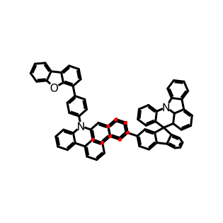 C1=CC2C3C(=C1)c1ccccc1N3c1ccccc1C21c2ccccc2-c2ccc(-c3ccc4cc(N(c5ccc(-c6cccc7c6oc6ccccc67)cc5)c5ccccc5-c5cccc(-c6ccccc6)c5)ccc4c3)cc21